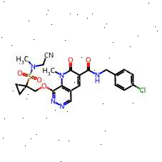 CN(CC#N)S(=O)(=O)C1(COc2nncc3cc(C(=O)NCc4ccc(Cl)cc4)c(=O)n(C)c23)CC1